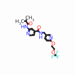 CC(C)C(=O)Nc1cc(C(=O)NCc2ccc(OCCOC(F)(F)F)nc2)ccn1